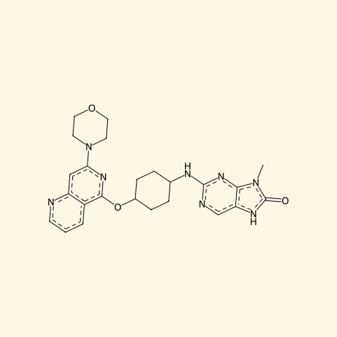 Cn1c(=O)[nH]c2cnc(NC3CCC(Oc4nc(N5CCOCC5)cc5ncccc45)CC3)nc21